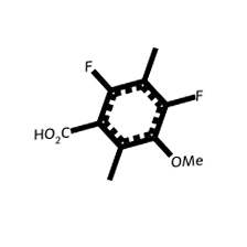 COc1c(C)c(C(=O)O)c(F)c(C)c1F